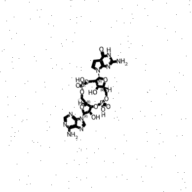 Nc1nc2c(ccn2[C@@H]2O[C@@H]3COP(=O)(O)OC4C(O)[C@H](n5cnc6c(N)ncnc65)O[C@@H]4COP(=O)(O)OC2C3O)c(=O)[nH]1